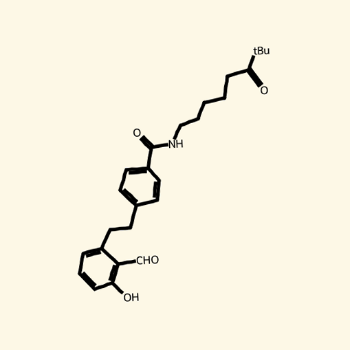 CC(C)(C)C(=O)CCCCCNC(=O)c1ccc(CCc2cccc(O)c2C=O)cc1